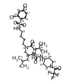 CC(C)C[C@@H](CN(CCCCNS(=O)(=O)c1ccc(Cl)cc1Cl)C(=O)NC(C)C)NC(=O)NC1CCN(C(=O)C(F)(F)F)CC1